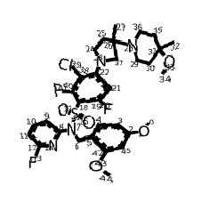 COc1ccc(CN(c2cccc(F)n2)S(=O)(=O)c2c(F)cc(N3CCC(C)(N4CCC(C)(OC)CC4)C3)c(Cl)c2F)c(OC)c1